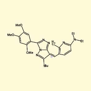 CCN(CC)c1ccc(/C=c2/c(C(C)(C)C)nn3c(-c4cc(OC)c(OC)cc4OC)nnc23)c(C)n1